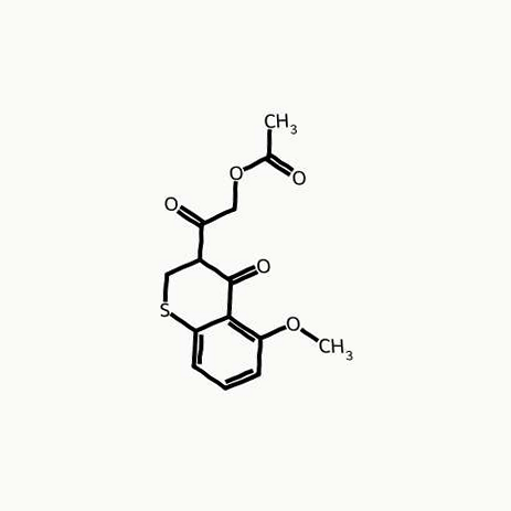 COc1cccc2c1C(=O)C(C(=O)COC(C)=O)CS2